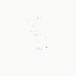 O=C(NC1COC1)c1cc(C2CC2)cc(NS(=O)(=O)c2cc(Br)cc(Cl)c2O)c1F